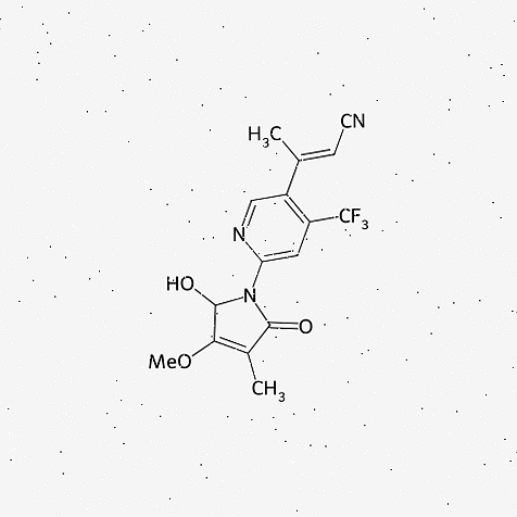 COC1=C(C)C(=O)N(c2cc(C(F)(F)F)c(C(C)=CC#N)cn2)C1O